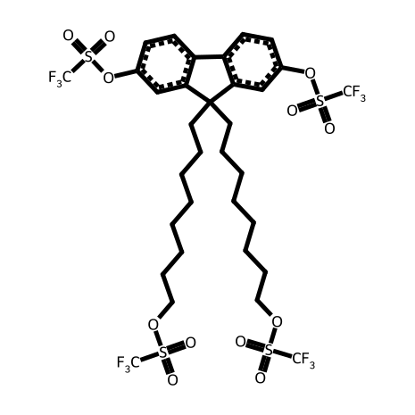 O=S(=O)(OCCCCCCCCC1(CCCCCCCCOS(=O)(=O)C(F)(F)F)c2cc(OS(=O)(=O)C(F)(F)F)ccc2-c2ccc(OS(=O)(=O)C(F)(F)F)cc21)C(F)(F)F